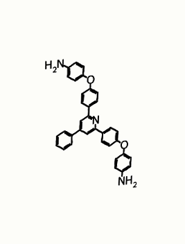 Nc1ccc(Oc2ccc(-c3cc(-c4ccccc4)cc(-c4ccc(Oc5ccc(N)cc5)cc4)n3)cc2)cc1